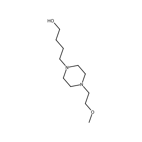 COCCN1CCN(CCCCO)CC1